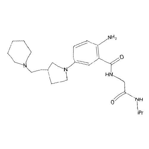 CC(C)NC(=O)CNC(=O)c1cc(N2CCC(CN3CCCCC3)C2)ccc1N